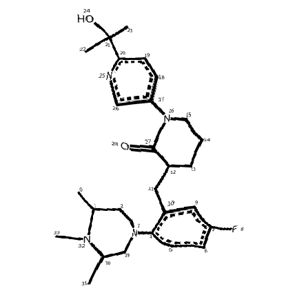 CC1CN(c2ccc(F)cc2CC2CCCN(c3ccc(C(C)(C)O)nc3)C2=O)CC(C)N1C